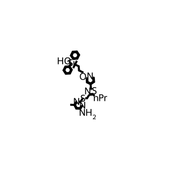 CCCc1sc(-c2ccnc(OCCCC(C)(C)[Si](O)(c3ccccc3)c3ccccc3)c2)nc1CSc1nc(C)cc(N)n1